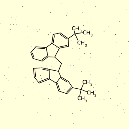 CC(C)(C)c1ccc2c(c1)C(CC1c3ccccc3-c3ccc(C(C)(C)C)cc31)c1ccccc1-2